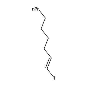 CCCCCCCC=CI